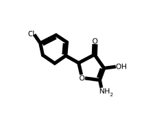 NC1=C(O)C(=O)C(C2=CC=C(Cl)CC2)O1